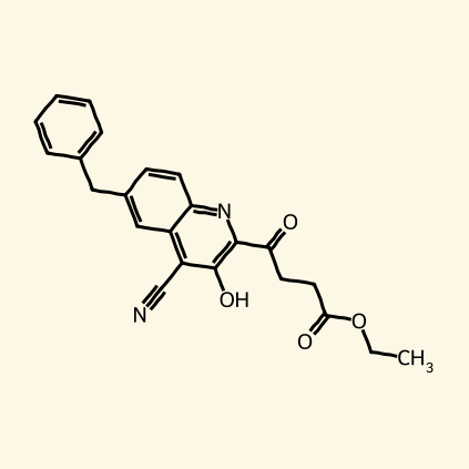 CCOC(=O)CCC(=O)c1nc2ccc(Cc3ccccc3)cc2c(C#N)c1O